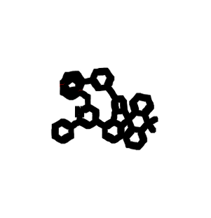 CC1(C)c2ccccc2C2(c3ccc(-c4cccc(-c5ccccc5)c4)cc3-c3c(-c4cc(Cc5ccccc5)nc(-c5ccccc5)c4)cccc32)c2ccccc21